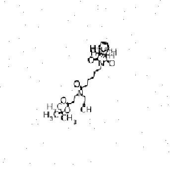 C#CCN(CCC(=O)OC(C)(C)C)C(=O)CCCCCN1C(=O)[C@@H]2[C@H](C1=O)[C@H]1C=C[C@@H]2C1